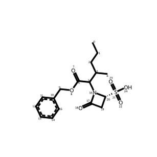 CCCC(C)C(C(=O)OCc1ccccc1)N1C(=O)C[C@H]1S(=O)(=O)O